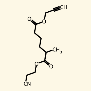 C#CCOC(=O)CCCC(C)C(=O)OCCC#N